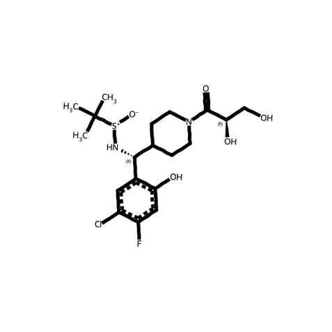 CC(C)(C)[S+]([O-])N[C@@H](c1cc(Cl)c(F)cc1O)C1CCN(C(=O)[C@H](O)CO)CC1